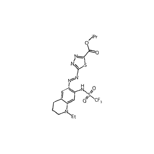 CCN1CCCc2cc(N=Nc3nnc(C(=O)OC(C)C)s3)c(NS(=O)(=O)C(F)(F)F)cc21